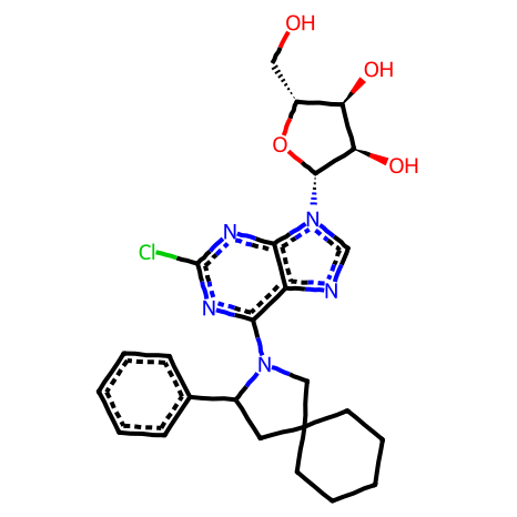 OC[C@H]1O[C@@H](n2cnc3c(N4CC5(CCCCC5)CC4c4ccccc4)nc(Cl)nc32)[C@H](O)[C@@H]1O